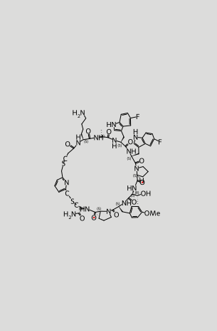 COc1ccc(C[C@@H]2NC(=O)[C@H]([C@@H](C)O)NC(=O)[C@@H]3CCCN3C(=O)[C@H](Cc3c[nH]c4ccc(F)cc34)NC(=O)[C@H](Cc3c[nH]c4ccc(F)cc34)NC(=O)[C@@H](C)NC(=O)[C@H](CCCCN)NC(=O)CCSCc3cccc(n3)CSC[C@@H](C(N)=O)NC(=O)[C@]3(C)CCCN3C2=O)cc1